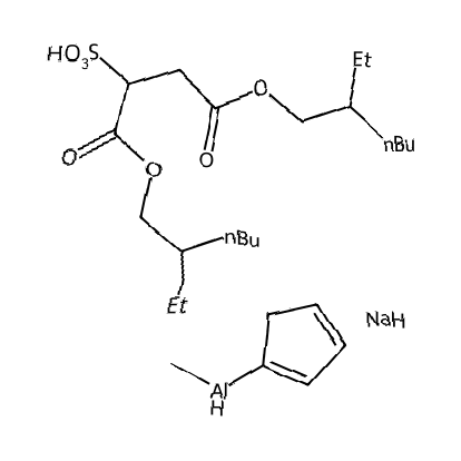 CCCCC(CC)COC(=O)CC(C(=O)OCC(CC)CCCC)S(=O)(=O)O.[CH3][AlH][C]1=CC=CC1.[NaH]